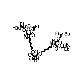 CCCCC(CC)COC(=O)c1nnn(CCCCCCOC(=O)c2nnn(C(C)C)c2C(=O)OCCCCCCn2nnc(C(=O)OCC(CC)CCCC)c2C(=O)OCC(CC)CCCC)c1C(=O)OCC(CC)CCCC